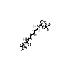 C[Si](C)(C)OC(=O)NCCCCCNC(=O)O[Si](C)(C)C